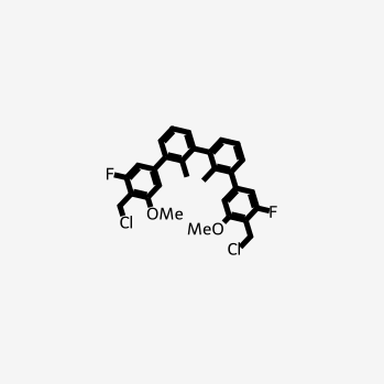 COc1cc(-c2cccc(-c3cccc(-c4cc(F)c(CCl)c(OC)c4)c3C)c2C)cc(F)c1CCl